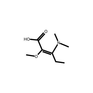 CCC(=C(OC)C(=O)O)N(C)C